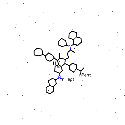 CCCCCCCN(C1CCC2CCCCC2C1)C1CC[C@@H]2C(C1)C(C1CCC(C(C)CCCCC)CC1)C(CCC(C)N(C1CCCCC1)C1CCCC3CCCCC31)C(C)C2C1CCC(C2CCCCC2)CC1